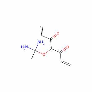 C=CC(=O)C(OC(C)(N)N)C(=O)C=C